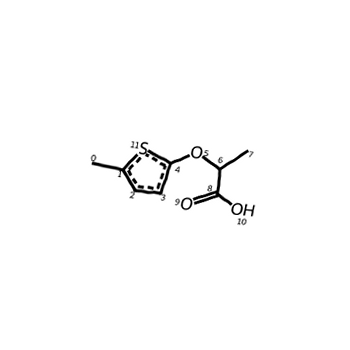 Cc1ccc(OC(C)C(=O)O)s1